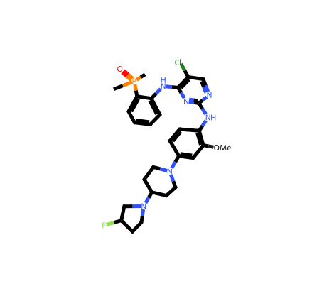 COc1cc(N2CCC(N3CCC(F)C3)CC2)ccc1Nc1ncc(Cl)c(Nc2ccccc2P(C)(C)=O)n1